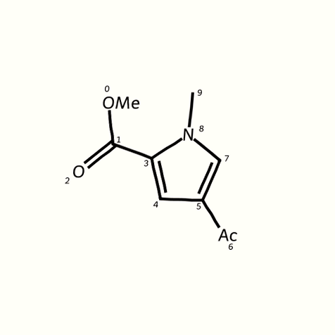 COC(=O)c1cc(C(C)=O)cn1C